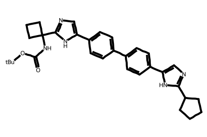 CC(C)(C)OC(=O)NC1(c2ncc(-c3ccc(-c4ccc(-c5cnc(C6CCCC6)[nH]5)cc4)cc3)[nH]2)CCC1